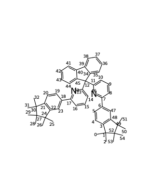 CC1(C)c2ccc(-c3cccc(C4(c5cccc(-c6ccc7c(c6)C(C)(C)C(C)(C)C7(C)C)n5)c5ccccc5-c5ccccc54)n3)cc2C(C)(C)C1(C)C